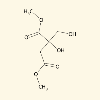 COC(=O)CC(O)(CO)C(=O)OC